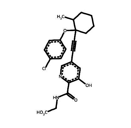 CC1CCCCC1(C#Cc1cnc(C(=O)NCC(=O)O)c(O)c1)Oc1ccc(Cl)cc1